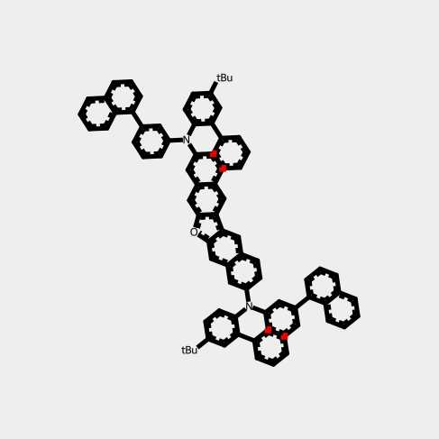 CC(C)(C)c1ccc(N(c2cccc(-c3cccc4ccccc34)c2)c2ccc3cc4c(cc3c2)oc2cc3cc(N(c5cccc(-c6cccc7ccccc67)c5)c5ccc(C(C)(C)C)cc5-c5ccccc5)ccc3cc24)c(-c2ccccc2)c1